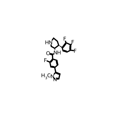 Cn1nccc1-c1ccc(C(=O)N[C@@H]2CNCC[C@H]2c2ccc(F)c(F)c2F)c(F)c1